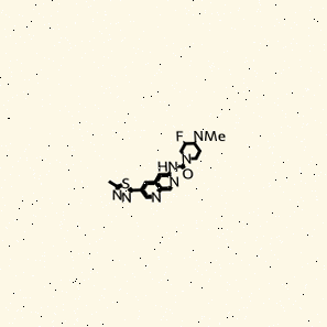 CN[C@H]1CCN(C(=O)Nc2cc3cc(-c4nnc(C)s4)cnc3cn2)C[C@@H]1F